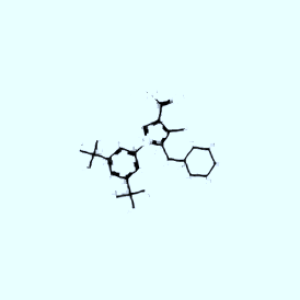 Cc1c(C(N)=O)cn(-c2cc(C(C)(C)C)cc(C(C)(C)C)c2)c1CC1CCCCC1